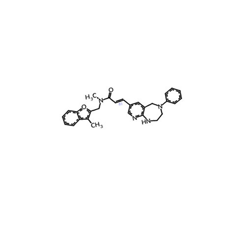 Cc1c(CN(C)C(=O)/C=C/c2cnc3c(c2)CN(c2ccccc2)CCN3)oc2ccccc12